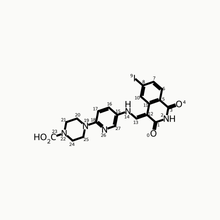 O=C1NC(=O)c2ccc(I)cc2C1=CNc1ccc(N2CCN(C(=O)O)CC2)nc1